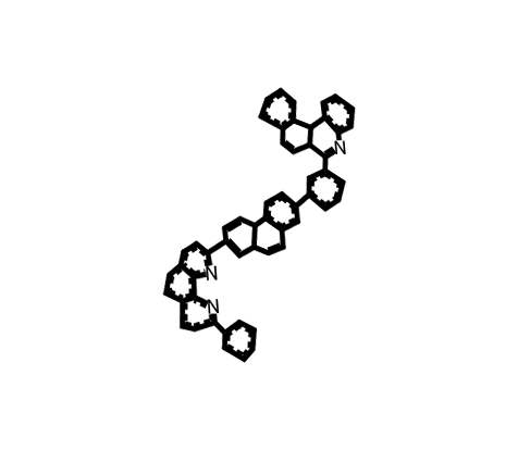 C1=CC2c3ccc(-c4cccc(C5=Nc6ccccc6C6c7ccccc7C=CC56)c4)cc3C=CC2C=C1c1ccc2ccc3ccc(-c4ccccc4)nc3c2n1